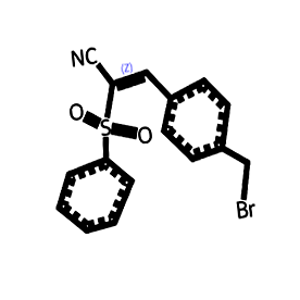 N#C/C(=C/c1ccc(CBr)cc1)S(=O)(=O)c1ccccc1